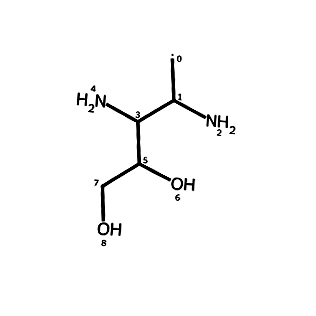 [CH2]C(N)C(N)C(O)CO